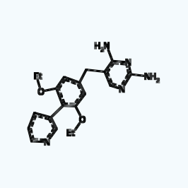 CCOc1cc(Cc2cnc(N)nc2N)cc(OCC)c1-c1cccnc1